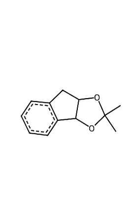 CC1(C)OC2Cc3ccccc3C2O1